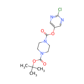 CC(C)(C)OC(=O)N1CCN(C(=O)Oc2cnc(Cl)nc2)CC1